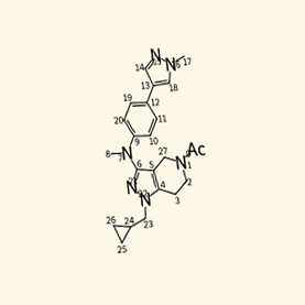 CC(=O)N1CCc2c(c(N(C)c3ccc(-c4cnn(C)c4)cc3)nn2CC2CC2)C1